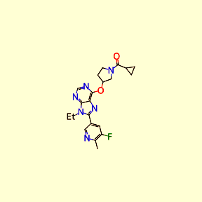 CCn1c(-c2cnc(C)c(F)c2)nc2c(OC3CCN(C(=O)C4CC4)C3)ncnc21